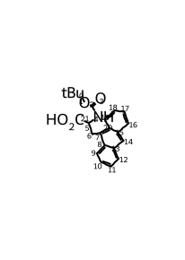 CC(C)(C)OC(=O)NC(Cc1c2ccccc2cc2ccccc12)C(=O)O